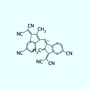 C=C1C(=C(C#N)C#N)c2cc(C#N)ccc2/C1=C/C1=C(C)C(=C(C#N)C#N)c2cc(C#N)ccc21